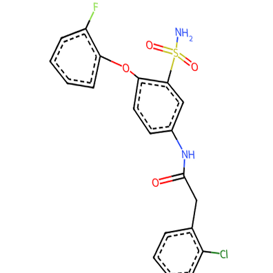 NS(=O)(=O)c1cc(NC(=O)Cc2ccccc2Cl)ccc1Oc1ccccc1F